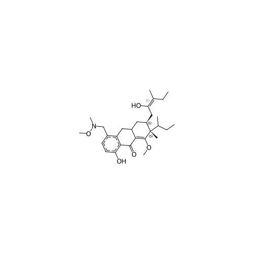 CC/C(C)=C(/O)C[C@@H]1CC2Cc3c(CN(C)OC)ccc(O)c3C(=O)C2=C(OC)[C@@]1(C)C(C)CC